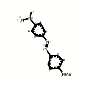 CNc1ccc(/N=N/c2ccc(N(C)N)cc2)cc1